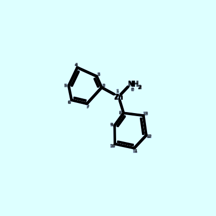 [NH2][Zn]([c]1ccccc1)[c]1ccccc1